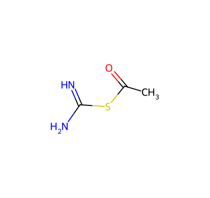 CC(=O)SC(=N)N